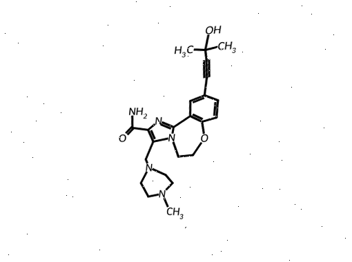 CN1CCN(Cc2c(C(N)=O)nc3n2CCOc2ccc(C#CC(C)(C)O)cc2-3)CC1